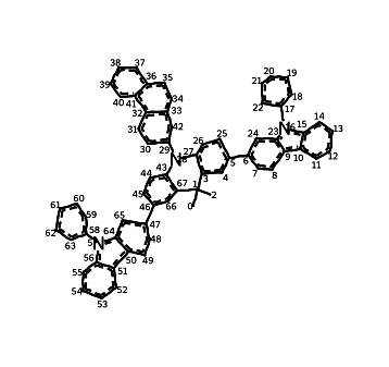 CC1(C)c2cc(-c3ccc4c5ccccc5n(-c5ccccc5)c4c3)ccc2N(c2ccc3c(ccc4ccccc43)c2)c2ccc(-c3ccc4c5ccccc5n(-c5ccccc5)c4c3)cc21